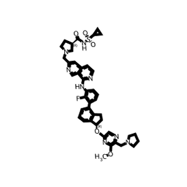 COc1nc(O[C@@H]2CCc3c(-c4cccc(Nc5nccc6cc(CN7CC[C@@H](C(=O)NS(=O)(=O)C8CC8)C7)ncc56)c4F)cccc32)cnc1CN1CCCC1